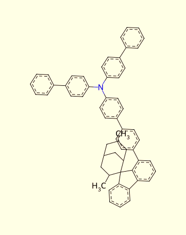 CC1CC2CC(C)C3(c4ccccc4-c4cccc(-c5ccc(-c6ccc(N(c7ccc(-c8ccccc8)cc7)c7ccc(-c8ccccc8)cc7)cc6)cc5)c43)C(C1)C2